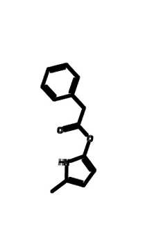 Cc1ccc(OC(=O)Cc2ccccc2)[nH]1